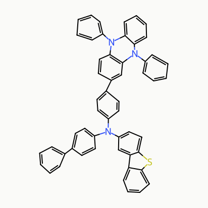 c1ccc(-c2ccc(N(c3ccc(-c4ccc5c(c4)N(c4ccccc4)c4ccccc4N5c4ccccc4)cc3)c3ccc4sc5ccccc5c4c3)cc2)cc1